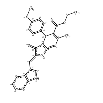 CCOC(=O)C1=C(C)N=c2s/c(=C\c3c[nH]c4ccccc34)c(=O)n2C1c1ccc(SC)cc1